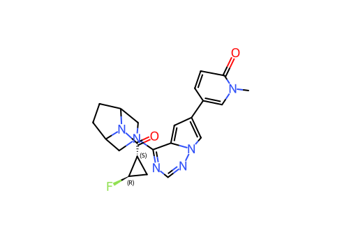 Cn1cc(-c2cc3c(N4CC5CCC(C4)N5C(=O)[C@@H]4C[C@H]4F)ncnn3c2)ccc1=O